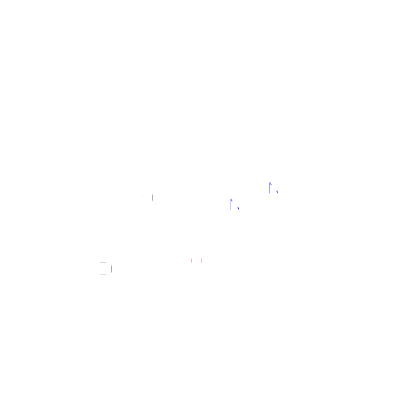 CCC(CC)Oc1ccn(C)n1